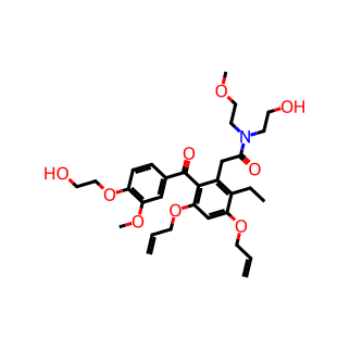 C=CCOc1cc(OCC=C)c(C(=O)c2ccc(OCCO)c(OC)c2)c(CC(=O)N(CCO)CCOC)c1CC